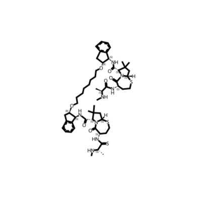 CN[C@@H](C)C(=O)N[C@H]1CCS[C@H]2CC(C)(C)[C@@H](C(=O)N[C@H]3c4ccccc4C[C@H]3OCCCCCCCCO[C@@H]3Cc4ccccc4[C@@H]3NC(=O)[C@H]3N4C(=O)[C@@H](NC(=S)[C@H](C)NC)CCS[C@H]4CC3(C)C)N2C1=O